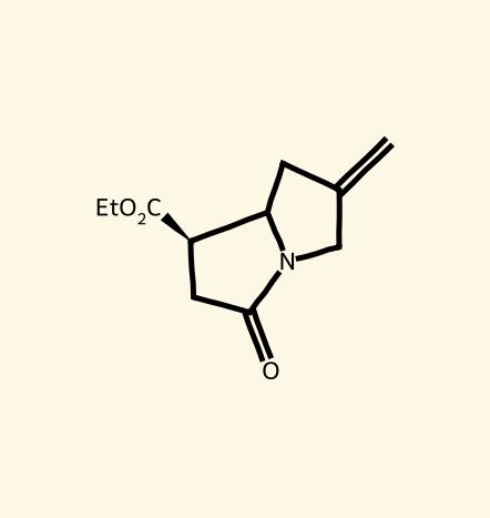 C=C1CC2[C@H](C(=O)OCC)CC(=O)N2C1